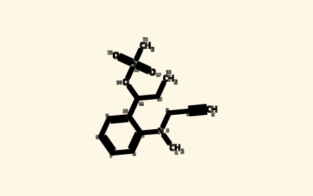 C#CCN(C)c1ccccc1C(CC)OS(C)(=O)=O